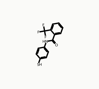 O=C(Nc1ccc(S)cc1)c1ccccc1C(F)(F)F